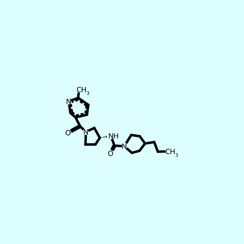 CCCC1CCN(C(=O)N[C@@H]2CCN(C(=O)c3ccc(C)nc3)C2)CC1